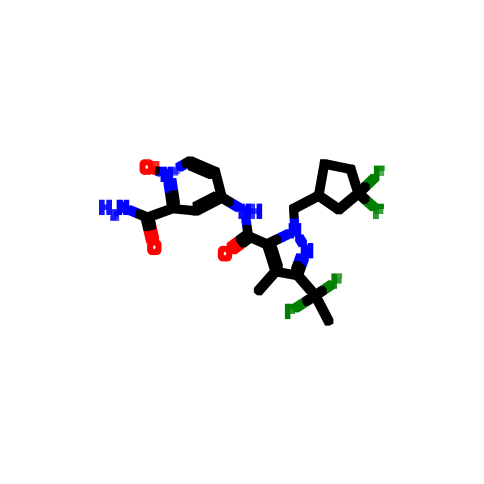 Cc1c(C(C)(F)F)nn(CC2CCC(F)(F)C2)c1C(=O)Nc1cc[n+]([O-])c(C(N)=O)c1